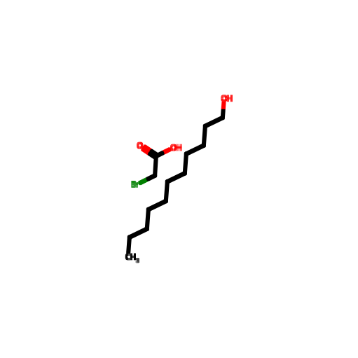 CCCCCCCCCCCO.O=C(O)CBr